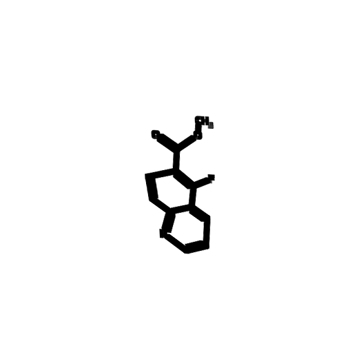 COC(=O)c1ccc2ncccc2c1F